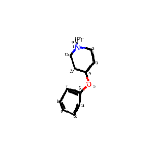 CC(C)N1CCC(Oc2ccccc2)CC1